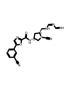 N#Cc1cccc(-c2cnc(C(=O)N[C@@H]3C[C@@H](CN/C=N\C=N)N(C#N)C3)o2)c1